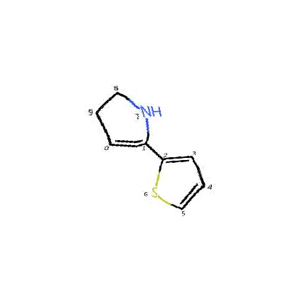 C1=C(c2cccs2)NCC1